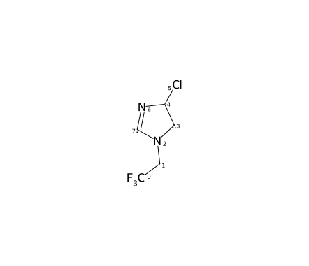 FC(F)(F)CN1[C]C(Cl)N=[C]1